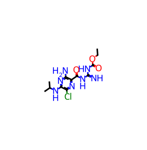 CCOC(=O)NC(=N)NC(=O)c1nc(Cl)c(NC(C)C)nc1N